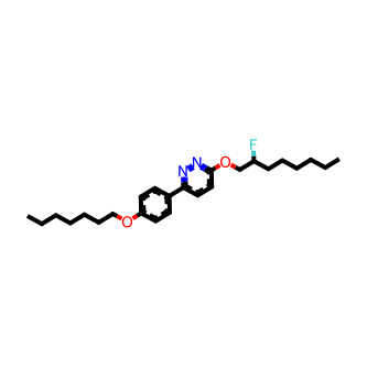 CCCCCCCOc1ccc(-c2ccc(OCC(F)CCCCCC)nn2)cc1